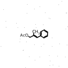 CC(=O)OC/C(C)=C/c1ccccc1